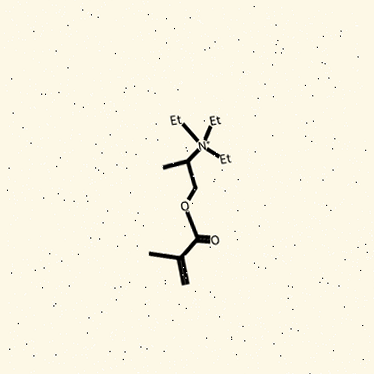 C=C(C)C(=O)OCC(C)[N+](CC)(CC)CC